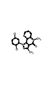 Cc1nn(-c2cc(Cl)ccc2Cl)c2c1c(=O)n(C)c1cccnc21